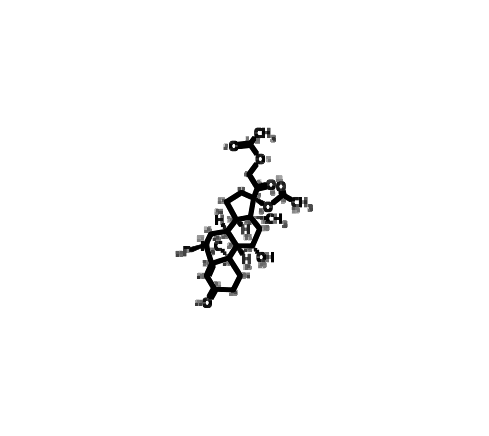 CC(=O)OCC(=O)[C@@]1(OC(C)=O)CC[C@H]2[C@@H]3C[C@H](F)C4=CC(=O)CC[C@]4(C)[C@H]3[C@@H](O)C[C@@]21C